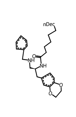 CCCCCCCCCCCCCCCC(=O)N[C@H](CNCc1ccccc1)Cc1ccc2c(c1)OCCO2